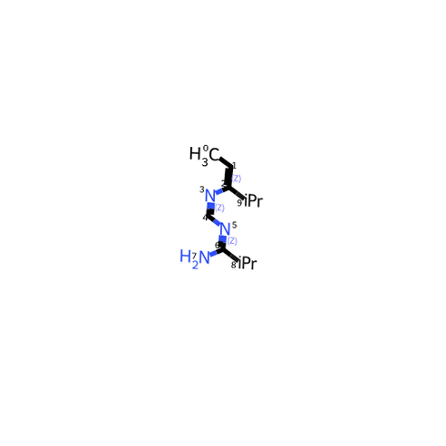 C\C=C(/N=C\N=C(/N)C(C)C)C(C)C